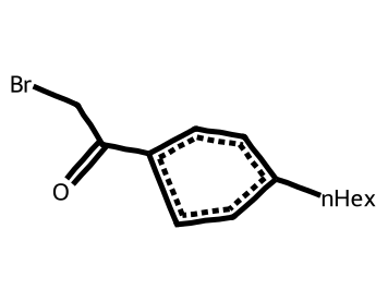 CCCCCCc1ccc(C(=O)CBr)cc1